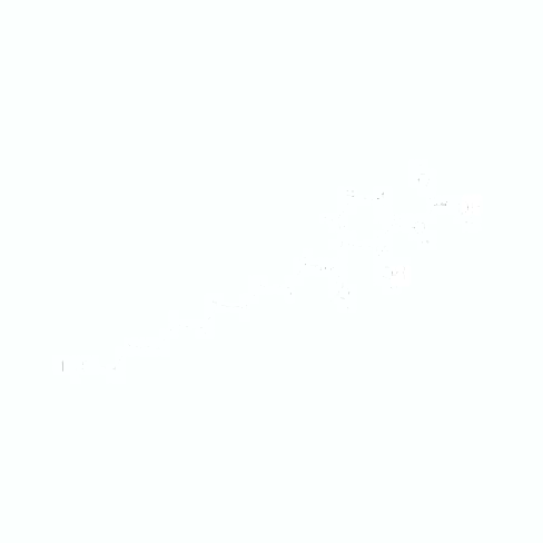 CCCCCCCCCCCC(=O)c1cccc(OC(=O)O)c1O